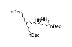 CCCCCCCCCCCCCCC(CCCCCCCCCCCCCC)CCCCC(CCCCCCCCCCCCCC)NN